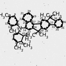 CC1=CC=C(N(c2ccc(C)cc2C)c2cc3c(c4ccccc24)-c2cc4c(cc2C3(C)C)-c2ccccc2C4(C)C)C(C)C1C